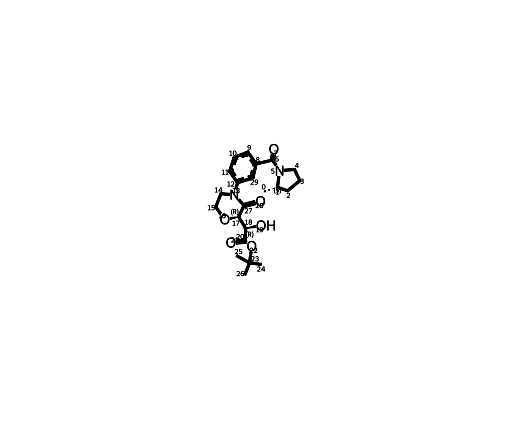 C[C@H]1CCCN1C(=O)c1cccc(N2CCO[C@H]([C@@H](O)C(=O)OC(C)(C)C)C2=O)c1